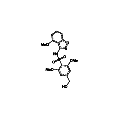 COc1cc(CO)cc(OC)c1S(=O)(=O)Nc1noc2cccc(OC)c12